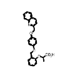 CC(Oc1ccccc1COc1ccc(OCc2ccc3ccccc3n2)cc1)C(=O)O